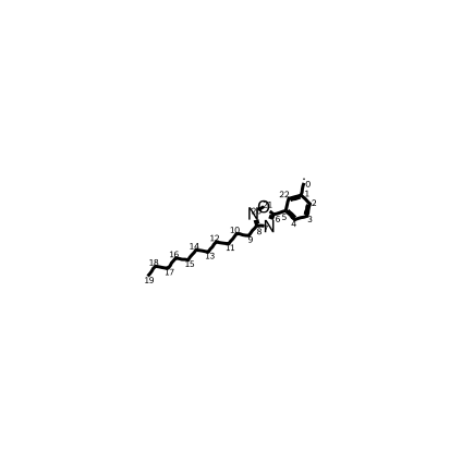 [CH2]c1cccc(-c2nc(CCCCCCCCCCC)no2)c1